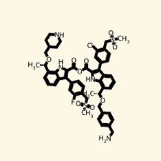 C[C@@H](OCc1ccc(CN)cc1)c1cccc2c(-c3ccc(CS(C)(=O)=O)c(Cl)c3)c(C(=O)OC(=O)c3[nH]c4c([C@@H](C)OCC5CCNCC5)cccc4c3-c3ccc(CS(C)(=O)=O)c(F)c3)[nH]c12